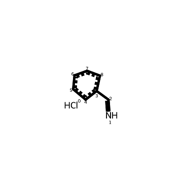 Cl.N=Cc1ccccc1